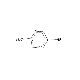 C[CH]c1ccc(C)nc1